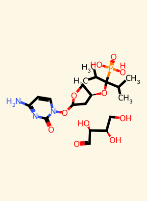 CC(C)C(O[C@@H]1COC(On2ccc(N)nc2=O)C1)(C(C)C)P(=O)(O)O.O=C[C@@H](O)[C@H](O)CO